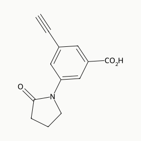 C#Cc1cc(C(=O)O)cc(N2CCCC2=O)c1